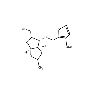 COc1ccoc1CO[C@@H]1[C@H]2OC(C)O[C@H]2O[C@@H]1CC(C)C